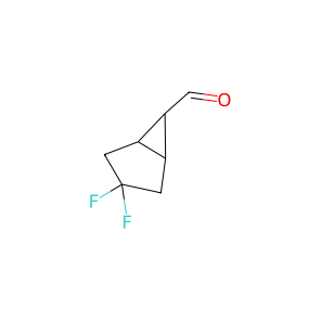 O=CC1C2CC(F)(F)CC12